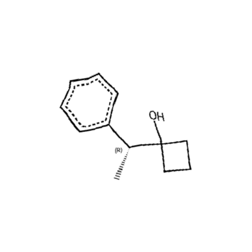 C[C@H](c1ccccc1)C1(O)CCC1